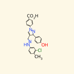 Cc1ccc(N/N=C/c2cn(-c3ccc(C(=O)O)cc3)nc2-c2ccc(O)cc2)cc1Cl